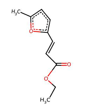 CCOC(=O)C=Cc1ccc(C)o1